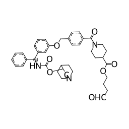 O=CCCCOC(=O)C1CCN(C(=O)c2ccc(COc3cccc([C@@H](NC(=O)OC4CN5CCC4CC5)c4ccccc4)c3)cc2)CC1